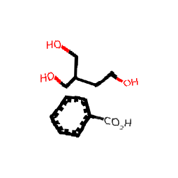 O=C(O)c1ccccc1.OCCC(CO)CO